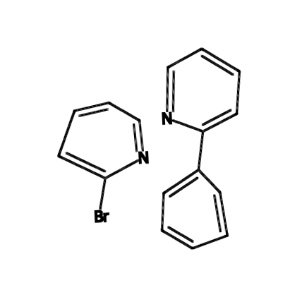 Brc1ccccn1.c1ccc(-c2ccccn2)cc1